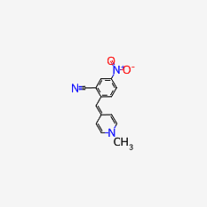 CN1C=CC(=Cc2ccc([N+](=O)[O-])cc2C#N)C=C1